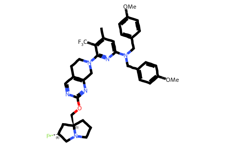 COc1ccc(CN(Cc2ccc(OC)cc2)c2cc(C)c(C(F)(F)F)c(N3CCc4cnc(OC[C@@]56CCCN5C[C@H](F)C6)nc4C3)n2)cc1